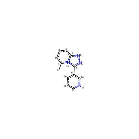 Cc1cccc2nnc(-c3cccnc3)n12